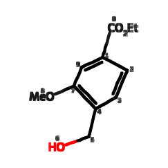 CCOC(=O)c1ccc(CO)c(OC)c1